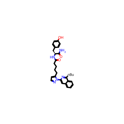 CCCCc1nc(-n2nccc2CCCCC(=O)N[C@@H](Cc2ccc(O)cc2)C(N)=O)cc2ccccc12